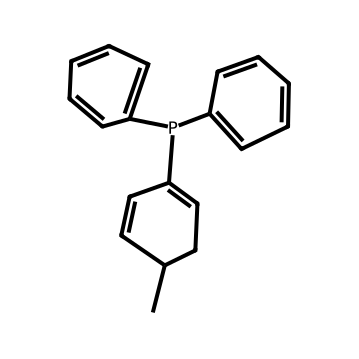 CC1C=CC(P(c2ccccc2)c2ccccc2)=CC1